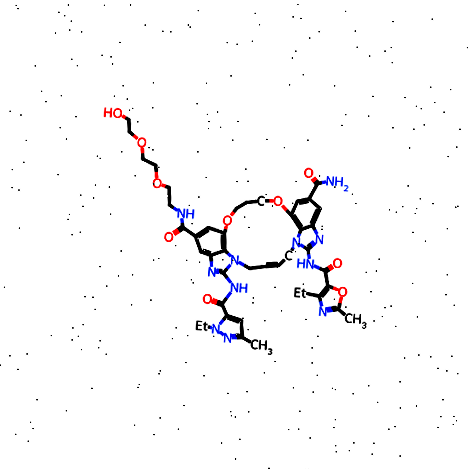 CCc1nc(C)oc1C(=O)Nc1nc2cc(C(N)=O)cc3c2n1C/C=C/Cn1c(NC(=O)c2cc(C)nn2CC)nc2cc(C(=O)NCCOCCOCCO)cc(c21)OCCCO3